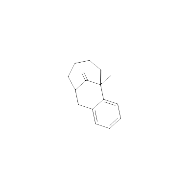 CC12CCCCC(Cc3ccccc31)C2=O